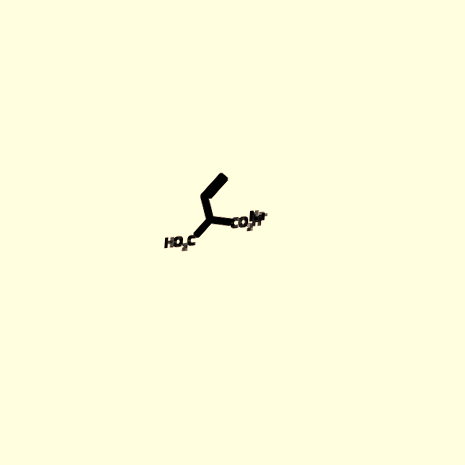 C=CC(C(=O)O)C(=O)O.[Na]